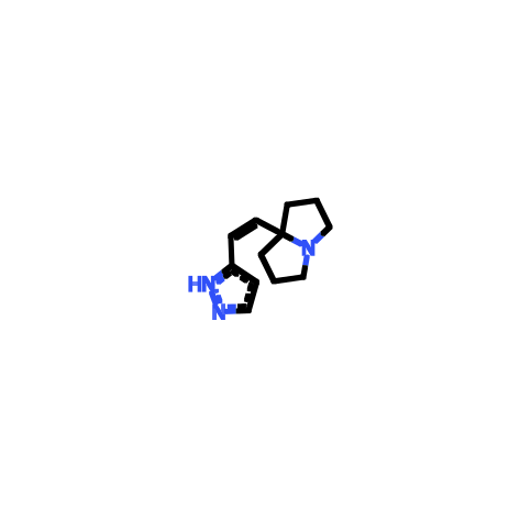 C(=C/C12CCCN1CCC2)/c1ccn[nH]1